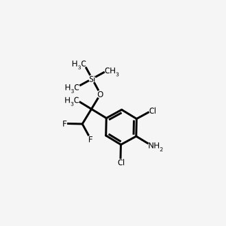 CC(O[Si](C)(C)C)(c1cc(Cl)c(N)c(Cl)c1)C(F)F